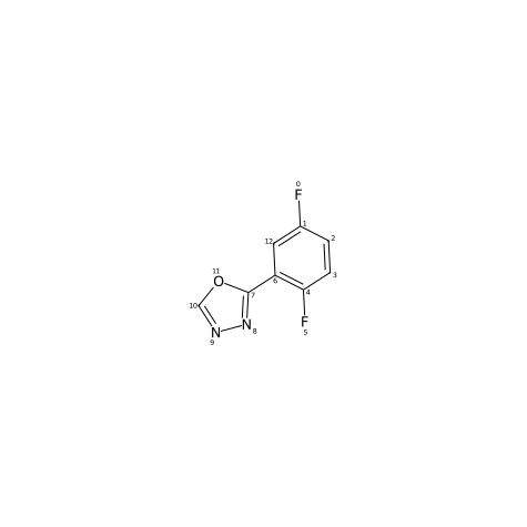 Fc1ccc(F)c(-c2nnco2)c1